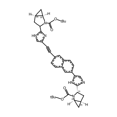 CC(C)(C)OC(=O)N1C(c2nc(C#Cc3ccc4cc(-c5cnc([C@@H]6C[C@H]7C[C@H]7N6C(=O)OC(C)(C)C)[nH]5)ccc4c3)c[nH]2)C[C@H]2C[C@H]21